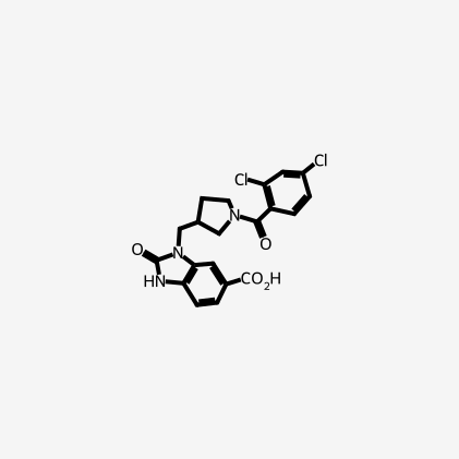 O=C(O)c1ccc2[nH]c(=O)n(CC3CCN(C(=O)c4ccc(Cl)cc4Cl)C3)c2c1